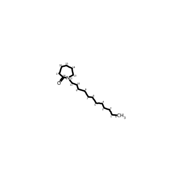 CCCCCCCCCCCCN1CCCCCC1=O